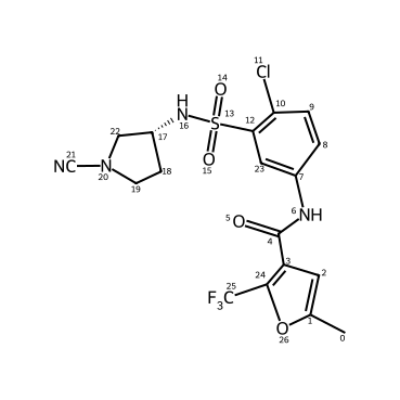 Cc1cc(C(=O)Nc2ccc(Cl)c(S(=O)(=O)N[C@@H]3CCN(C#N)C3)c2)c(C(F)(F)F)o1